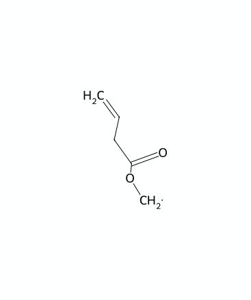 [CH2]OC(=O)CC=C